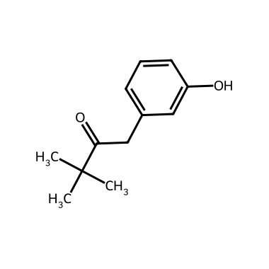 CC(C)(C)C(=O)Cc1cccc(O)c1